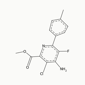 COC(=O)c1nc(-c2ccc(C)cc2)c(F)c(N)c1Cl